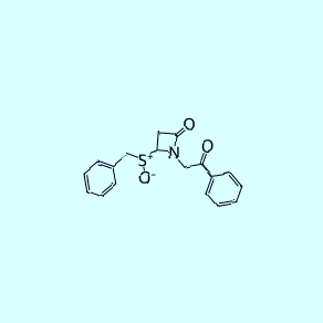 O=C(CN1C(=O)CC1[S+]([O-])Cc1ccccc1)c1ccccc1